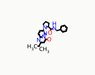 CC(C)c1cc(=O)n2nc(N3CCCC3C(=O)NCc3ccccc3)ccc2n1